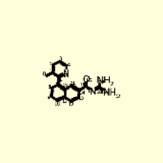 Cc1cccnc1-c1cccc2ccc(C(=O)N=C(N)N)cc12